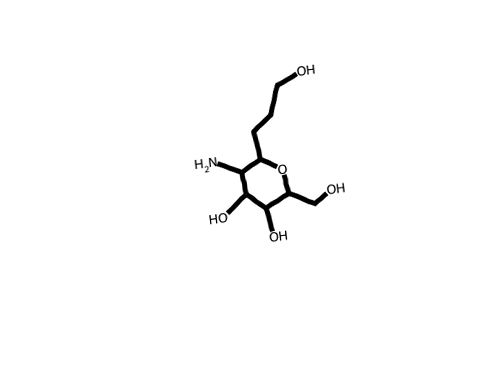 NC1C(CCCO)OC(CO)C(O)C1O